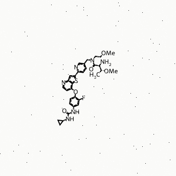 COCCN(Cc1ccc(-c2cc3nccc(Oc4ccc(NC(=O)NC5CC5)cc4F)c3s2)nc1)C(=O)C(N)[C@@H](C)OC